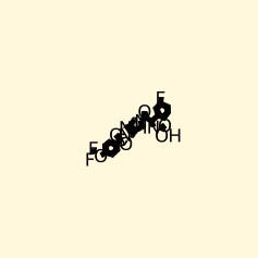 O=C(O)NC(C(=O)N1Cc2cn(S(=O)(=O)c3ccc(OC(F)F)cc3)nc2C1)c1cccc(F)c1